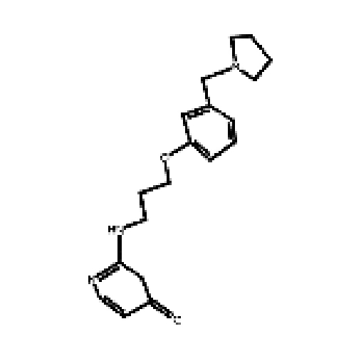 O=C1C=CN=C(NCCCOc2cccc(CN3CCCC3)c2)C1